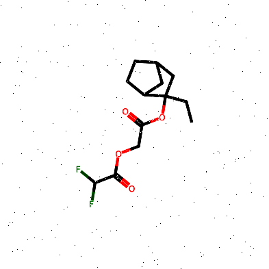 CCC1(OC(=O)COC(=O)C(F)F)CC2CCC1C2